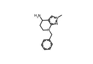 Cn1cc2c(n1)N(Cc1ccccc1)CCC2N